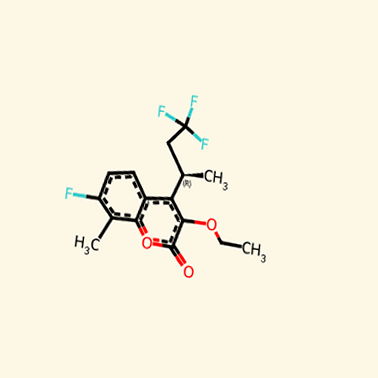 CCOc1c([C@H](C)CC(F)(F)F)c2ccc(F)c(C)c2oc1=O